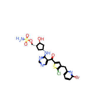 NS(=O)(=O)OC[C@H]1C[C@@H](Nc2ncncc2C(=O)c2cc(Cc3cccc(Br)n3)c(Cl)s2)C[C@@H]1O